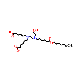 CCCCCCCOC(=O)CCCCCN(CCO)CCN(CCCCCC(=O)O)CCCCCC(=O)O